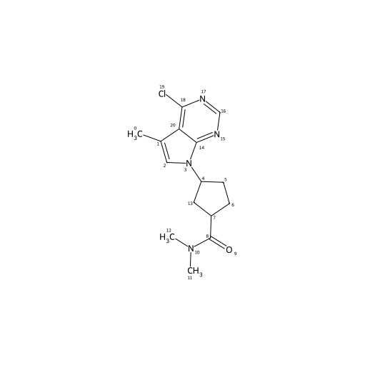 Cc1cn(C2CCC(C(=O)N(C)C)C2)c2ncnc(Cl)c12